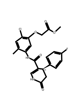 COC(=O)COc1cc(NC(=O)C2=CNC(=O)C[C@@H]2c2ccc(F)cc2)c(C)cc1Cl